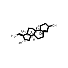 CC=C1[C@@H](O)C[C@@H]2[C@@H]3CCC4=CC(O)CC[C@]4(C)[C@H]3CC[C@]12C